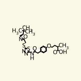 CC(CCOc1ccc(CC(=O)Nc2nnc(SCc3ncc(C(C)(C)C)o3)s2)cc1)C(=O)O